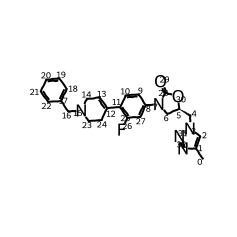 Cc1cn(C[C@H]2CN(c3ccc(C4=CCN(Cc5ccccc5)CC4)c(F)c3)C(=O)O2)nn1